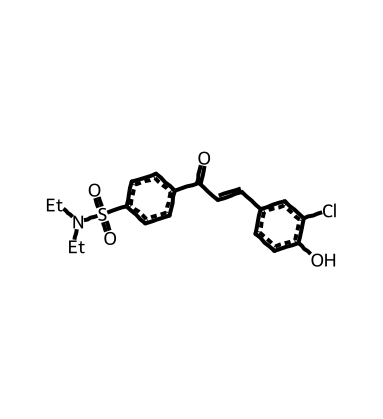 CCN(CC)S(=O)(=O)c1ccc(C(=O)C=Cc2ccc(O)c(Cl)c2)cc1